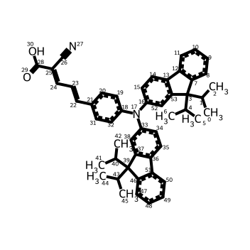 CC(C)C1(C(C)C)c2ccccc2-c2ccc(N(c3ccc(/C=C/C=C(\C#N)C(=O)O)cc3)c3ccc4c(c3)C(C(C)C)(C(C)C)c3ccccc3-4)cc21